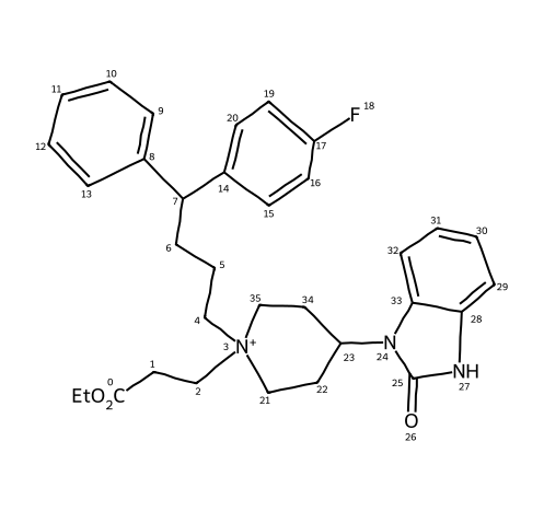 CCOC(=O)CC[N+]1(CCCC(c2ccccc2)c2ccc(F)cc2)CCC(n2c(=O)[nH]c3ccccc32)CC1